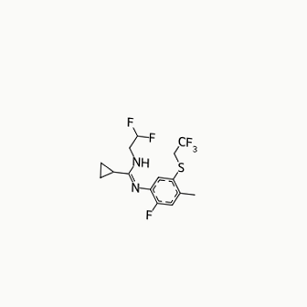 Cc1cc(F)c(/N=C(\NCC(F)F)C2CC2)cc1SCC(F)(F)F